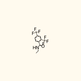 CCNC(=O)c1ccc(C(F)(F)F)cc1C(F)(F)F